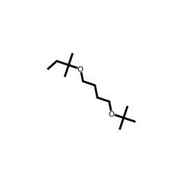 CCC(C)(C)OCCCCOC(C)(C)C